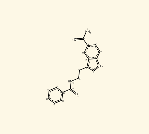 NC(=O)c1ccc2occ(CCNC(=O)c3ccccc3)c2c1